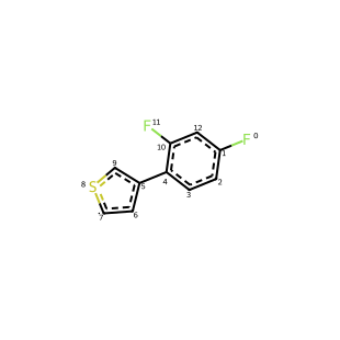 Fc1ccc(-c2c[c]sc2)c(F)c1